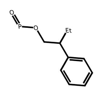 CCC(COP=O)c1ccccc1